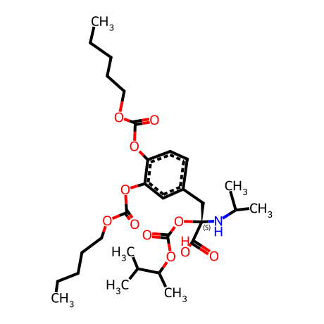 CCCCCOC(=O)Oc1ccc(C[C@](NC(C)C)(OC(=O)OC(C)C(C)C)C(=O)O)cc1OC(=O)OCCCCC